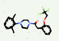 Cc1cccc(C)c1N1CCN(C(=O)Cc2ccccc2OCC(F)(F)F)CC1